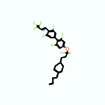 CCCCC1CCC(CCC(F)(F)Oc2cc(F)c(-c3cc(F)c(/C=C/C(F)(F)F)c(F)c3)c(F)c2)CC1